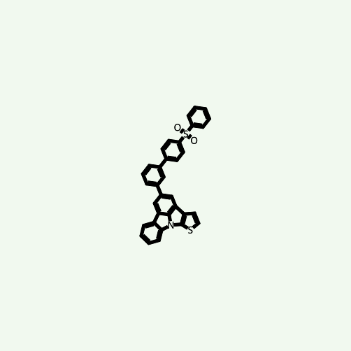 O=S(=O)(c1ccccc1)c1ccc(-c2cccc(-c3cc4c5ccccc5n5c6sccc6c(c3)c45)c2)cc1